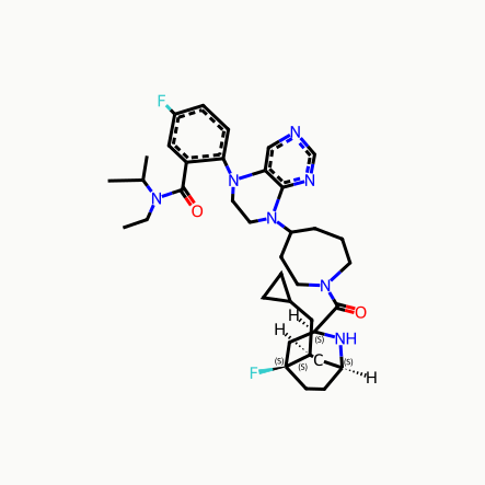 CCN(C(=O)c1cc(F)ccc1N1CCN(C2CCCN(C(=O)[C@@H]3C[C@@]4(F)CC[C@@H](C[C@@H]4CC4CC4)N3)CC2)c2ncncc21)C(C)C